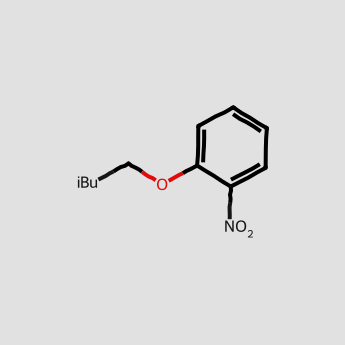 CCC(C)COc1ccccc1[N+](=O)[O-]